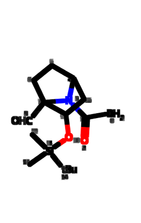 BC(=O)N1C2CCC1(C=O)C(O[Si](C)(C)C(C)(C)C)C2